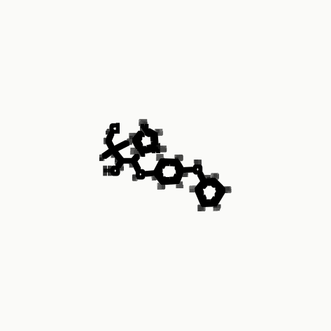 CC(C)(CCl)C(O)C(Oc1ccc(Oc2ccccc2)cc1)n1cncn1